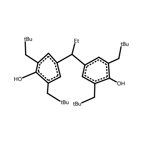 CCC(c1cc(CC(C)(C)C)c(O)c(CC(C)(C)C)c1)c1cc(CC(C)(C)C)c(O)c(CC(C)(C)C)c1